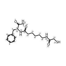 NC(=O)[C@H](Cc1ccccc1)NC(=O)CCCCCNC(=O)CS